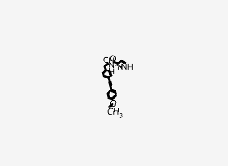 CCOc1ccc(C#Cc2ccc(CC(C)NC(=O)c3cc[nH]n3)cc2)cc1